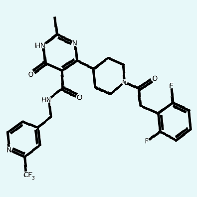 Cc1nc(C2CCN(C(=O)Cc3c(F)cccc3F)CC2)c(C(=O)NCc2ccnc(C(F)(F)F)c2)c(=O)[nH]1